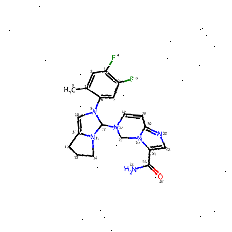 Cc1cc(F)c(F)cc1N1C=C2CCCN2C1N1C=Cc2ncc(C(N)=O)n2C1